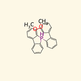 COc1cccc2c1[PH]1(c3ccccc3-2)c2ccccc2-c2cccc(OC)c21